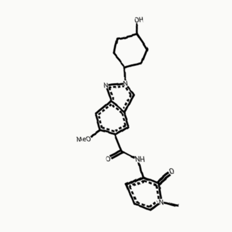 COc1cc2nn(C3CCC(O)CC3)cc2cc1C(=O)Nc1cccn(C)c1=O